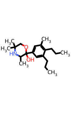 CCCc1cc(C2(O)OCC(C)(C)NC2C)cc(C)c1CCC